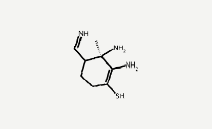 C[C@]1(N)C(N)=C(S)CCC1C=N